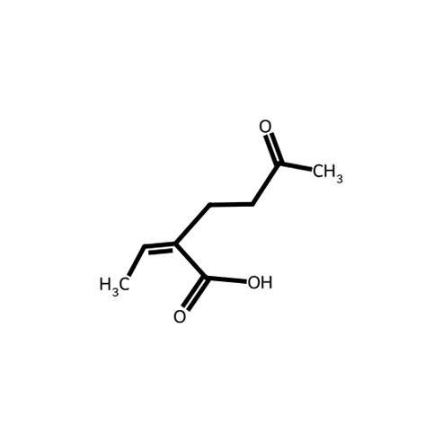 C/C=C(/CCC(C)=O)C(=O)O